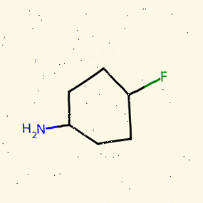 NC1CCC(F)CC1